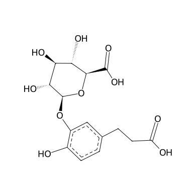 O=C(O)CCc1ccc(O)c(O[C@@H]2O[C@H](C(=O)O)[C@@H](O)[C@H](O)[C@H]2O)c1